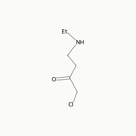 CCNCCC(=O)CCl